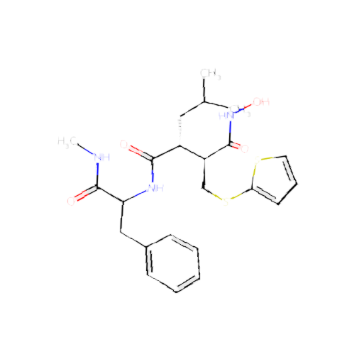 CNC(=O)C(Cc1ccccc1)NC(=O)[C@H](CC(C)C)[C@H](CSc1cccs1)C(=O)NO